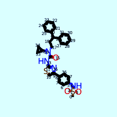 CS(=O)(=O)Nc1ccc(-c2csc(NC(=O)N(CCC(c3ccccc3)c3ccccc3)C3CC3)n2)cc1